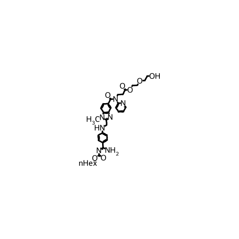 CCCCCCOC(=O)/N=C(\N)c1ccc(NCc2nc3cc(C(=O)N(CCC(=O)OCCOCCO)c4ccccn4)ccc3n2C)cc1